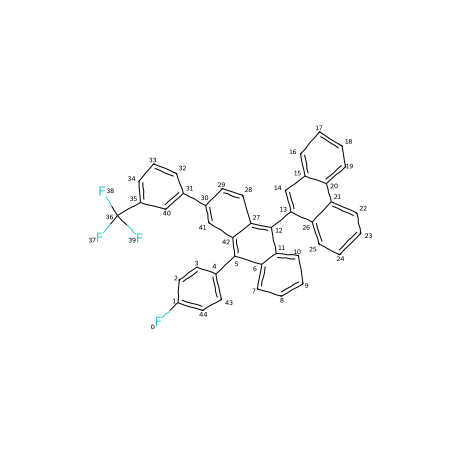 Fc1ccc(-c2c3ccccc3c(-c3cc4ccccc4c4ccccc34)c3ccc(-c4cccc(C(F)(F)F)c4)cc23)cc1